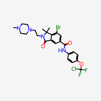 CN1CCN(CCN2C(=O)c3cc(C(=O)Nc4ccc(OC(F)(F)Cl)cc4)cc(Br)c3C2(C)C)CC1